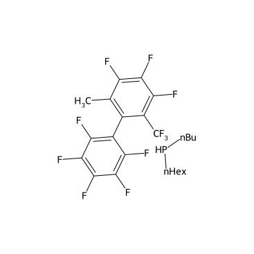 CCCCCCPCCCC.Cc1c(F)c(F)c(F)c(C(F)(F)F)c1-c1c(F)c(F)c(F)c(F)c1F